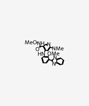 CNc1cc(Nc2cccc(-c3nc4ccccc4n3C)c2OC)c(C(=O)NOC)cn1